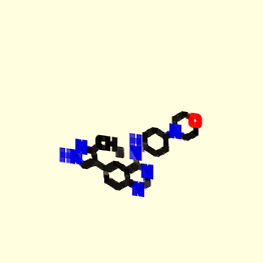 Cc1n[nH]cc1-c1ccc2ncnc(N[C@H]3CC[C@H](N4CCOCC4)CC3)c2c1